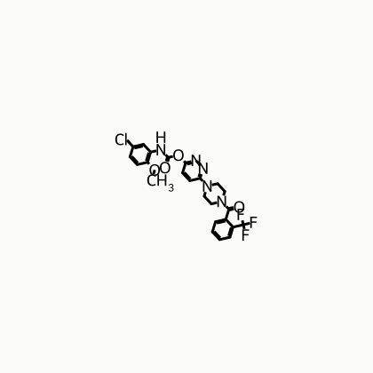 COc1ccc(Cl)cc1NC(=O)Oc1ccc(N2CCN(C(=O)c3ccccc3C(F)(F)F)CC2)nn1